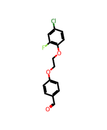 O=Cc1ccc(OCCOc2ccc(Cl)cc2F)cc1